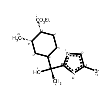 CCOC(=O)[C@@H]1CCC([C@@](C)(O)c2ncc(Br)s2)C[C@@H]1C